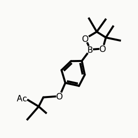 CC(=O)C(C)(C)COc1ccc(B2OC(C)(C)C(C)(C)O2)cc1